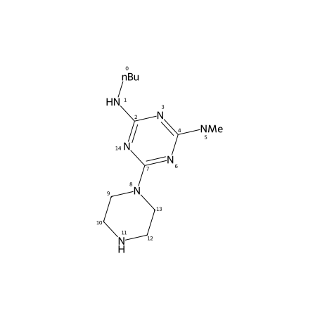 CCCCNc1nc(NC)nc(N2CCNCC2)n1